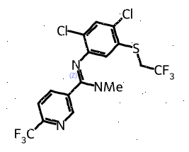 CN/C(=N\c1cc(SCC(F)(F)F)c(Cl)cc1Cl)c1ccc(C(F)(F)F)nc1